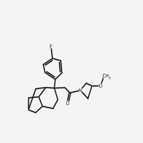 COC1CN(C(=O)CC2(c3ccc(F)cc3)CCC3CC4CC3C2C4)C1